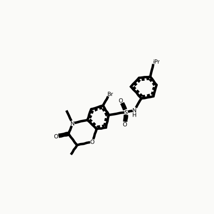 CC1Oc2cc(S(=O)(=O)Nc3ccc(C(C)C)cc3)c(Br)cc2N(C)C1=O